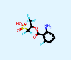 Nc1cccc(F)c1C(=O)OC(C(F)(F)F)C(F)(F)S(=O)(=O)O